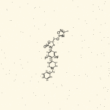 Cc1noc(OC[C@H]2CN(c3cc(F)c(C4=CCN(Cc5ccccc5)CC4)c(F)c3)C(=O)O2)n1